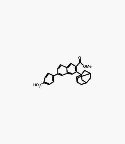 COC(=O)c1cc2ccc(-c3ccc(C(=O)O)cc3)cc2cc1C12CC3CC(CC(C3)C1)C2